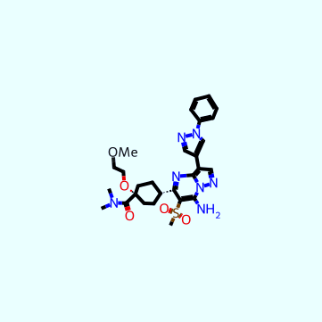 COCCO[C@]1(C(=O)N(C)C)CC[C@H](c2nc3c(-c4cnn(-c5ccccc5)c4)cnn3c(N)c2S(C)(=O)=O)CC1